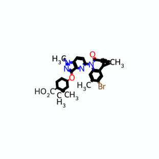 CC#CC(=O)N(c1ccc2c(n1)c(O[C@@H]1CC[C@H](C(=O)O)C(C)(C)C1)nn2C)c1cc(C)c(Br)cc1C1CC1